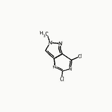 Cn1cc2nc(Cl)nc(Cl)c2n1